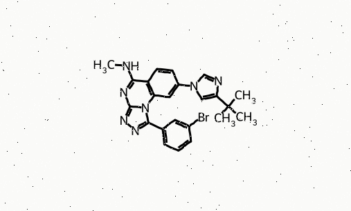 CNc1nc2nnc(-c3cccc(Br)c3)n2c2cc(-n3cnc(C(C)(C)C)c3)ccc12